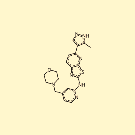 Cc1[nH]ncc1-c1ccc2nc(Nc3cc(CN4CCOCC4)ccn3)sc2n1